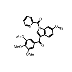 CCOc1ccc2c(C(=O)c3cc(OC)c(OC)c(OC)c3)cn(C(=O)c3ccccn3)c2c1